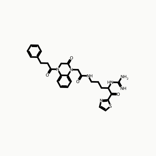 N=C(N)NC(CCCNC(=O)CN1C(=O)CN(C(=O)CCc2ccccc2)c2ccccc21)C(=O)c1nccs1